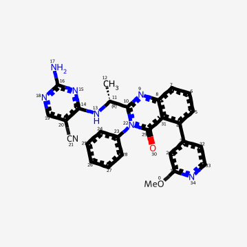 COc1cc(-c2cccc3nc([C@@H](C)Nc4nc(N)ncc4C#N)n(-c4ccccc4)c(=O)c23)ccn1